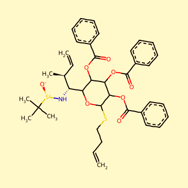 C=CCCSC1OC([C@H](N[S@+]([O-])C(C)(C)C)[C@@H](C)C=C)C(OC(=O)c2ccccc2)C(OC(=O)c2ccccc2)C1OC(=O)c1ccccc1